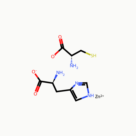 N[C@@H](CS)C(=O)[O-].N[C@@H](Cc1c[nH]cn1)C(=O)[O-].[Zn+2]